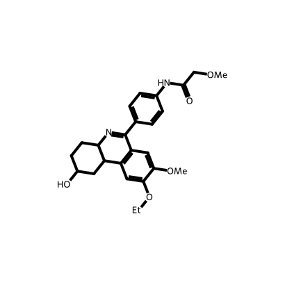 CCOc1cc2c(cc1OC)C(c1ccc(NC(=O)COC)cc1)=NC1CCC(O)CC21